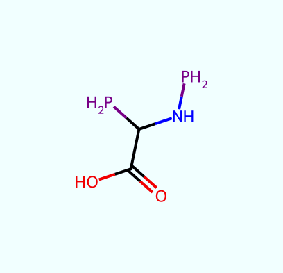 O=C(O)C(P)NP